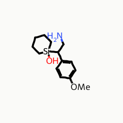 COc1ccc(C(CN)[Si]2(O)CCCCC2)cc1